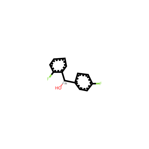 O[C@@H](c1ccc(F)cc1)c1ccccc1F